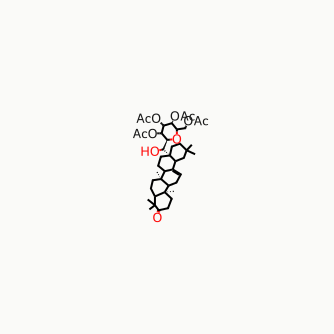 CC(=O)OCC1O[C@@H](C(O)[C@@]23CCC4C(=CCC5[C@@]4(C)CCC4C(C)(C)C(=O)CC[C@@]45C)C2CC(C)(C)CC3)C(OC(C)=O)C(OC(C)=O)[C@@H]1OC(C)=O